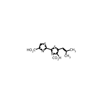 CC(C)=Cc1sc(-c2nc(C(=O)O)cs2)nc1C(=O)O